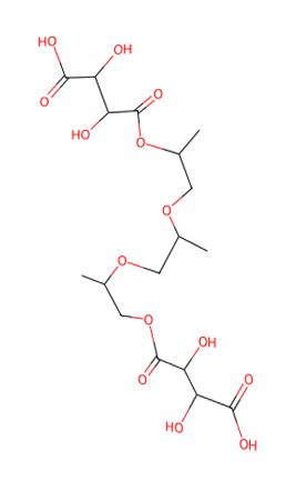 CC(COC(=O)C(O)C(O)C(=O)O)OCC(C)OCC(C)OC(=O)C(O)C(O)C(=O)O